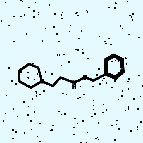 c1ccc(CONCCN2CCCCC2)cc1